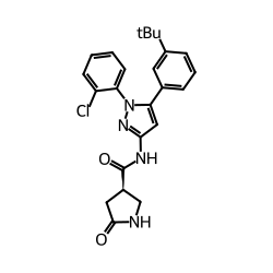 CC(C)(C)c1cccc(-c2cc(NC(=O)[C@H]3CNC(=O)C3)nn2-c2ccccc2Cl)c1